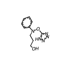 OCCCN(Oc1nnn[nH]1)c1ccccc1